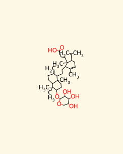 C=C(C)C1CC=C(C)C(CCC2C(=C)CCC3C(C)(C)C(OC4OCC(O)C(O)C4O)CCC23C)C1(C)CCC(=O)O